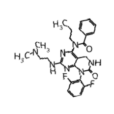 CCCN(C(=O)c1ccccc1)c1nc(NCCN(C)C)nc2c1CNC(=O)N2c1c(F)cccc1F